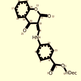 CCCCCCCCCCOC(=O)c1ccc(NC=C2C(=O)Oc3ccccc3C2=O)cc1